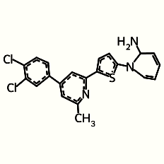 Cc1cc(-c2ccc(Cl)c(Cl)c2)cc(-c2ccc(N3C=CC=CC3N)s2)n1